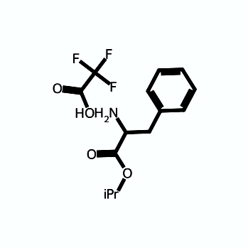 CC(C)OC(=O)C(N)Cc1ccccc1.O=C(O)C(F)(F)F